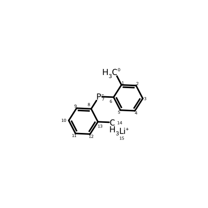 Cc1ccccc1[P-]c1ccccc1C.[Li+]